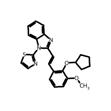 COc1cccc(C=Cc2nc3ccccc3n2-c2nccs2)c1OC1CCCC1